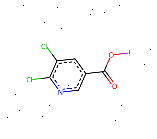 O=C(OI)c1cnc(Cl)c(Cl)c1